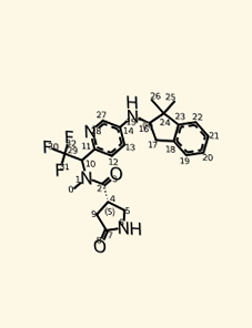 CN(C(=O)[C@@H]1CNC(=O)C1)C(c1ccc(N[C@@H]2Cc3ccccc3C2(C)C)cn1)C(F)(F)F